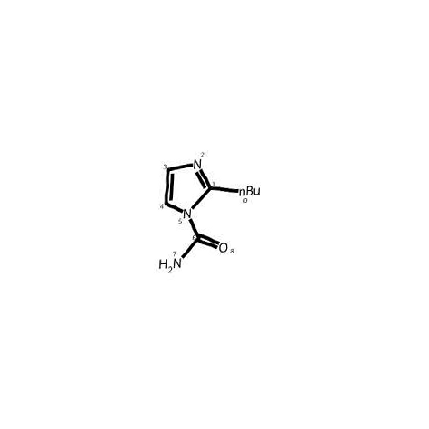 CCCCc1nccn1C(N)=O